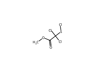 COC(=O)C(Cl)(Cl)SCl